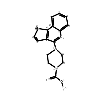 CC(C)(C)OC(=O)N1CCN(c2nc3ccccc3c3[nH]ccc23)CC1